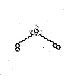 O=C(CCCCCCCCc1ccc2ccccc2c1)N[C@@H]1[C@@H](OC(=O)CCCCCCCCc2ccc3ccccc3c2)[C@H](O)[C@@H](CO)O[C@H]1O